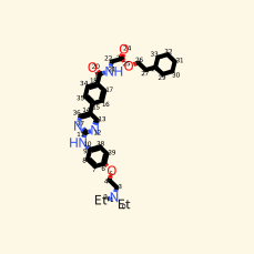 CCN(CC)CCOc1ccc(Nc2ncc(-c3ccc(C(=O)NCC(=O)OCCC4CCCCC4)cc3)cn2)cc1